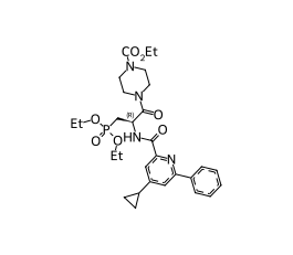 CCOC(=O)N1CCN(C(=O)[C@H](CP(=O)(OCC)OCC)NC(=O)c2cc(C3CC3)cc(-c3ccccc3)n2)CC1